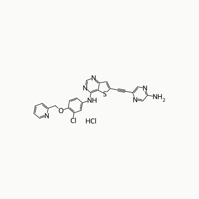 Cl.Nc1cnc(C#Cc2cc3ncnc(Nc4ccc(OCc5ccccn5)c(Cl)c4)c3s2)cn1